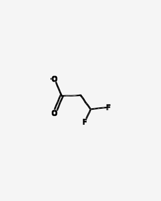 [O]C(=O)CC(F)F